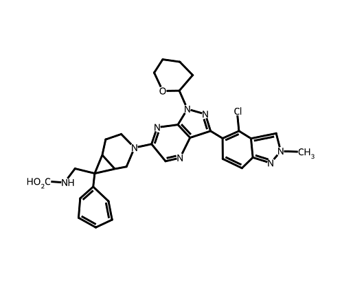 Cn1cc2c(Cl)c(-c3nn(C4CCCCO4)c4nc(N5CCC6C(C5)C6(CNC(=O)O)c5ccccc5)cnc34)ccc2n1